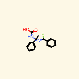 CC(NC(=O)O)(NC(F)c1ccccc1)c1ccccc1